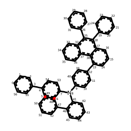 c1ccc(-c2ccc(N(c3ccc(-c4cccc5c(-c6ccccc6)c(-c6ccccc6)c6ccccc6c45)cc3)c3ccccc3-c3ccccc3)cc2)cc1